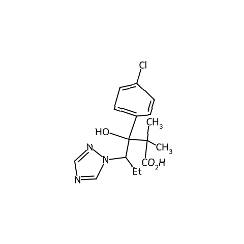 CCC(n1cncn1)C(O)(c1ccc(Cl)cc1)C(C)(C)C(=O)O